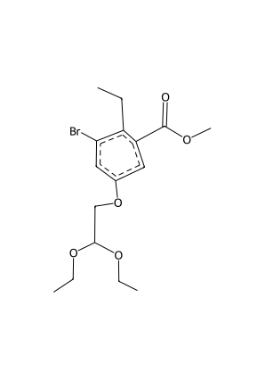 CCOC(COc1cc(Br)c(CC)c(C(=O)OC)c1)OCC